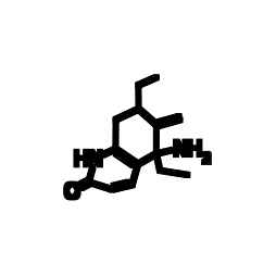 C=C1C(CC)Cc2[nH]c(=O)ccc2C1(N)CC